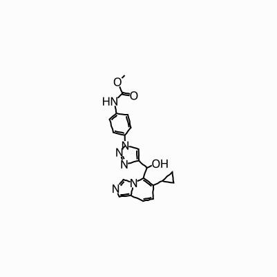 COC(=O)Nc1ccc(-n2cc(C(O)c3c(C4CC4)ccc4cncn34)nn2)cc1